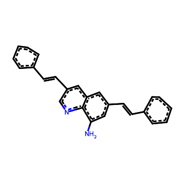 Nc1cc(/C=C/c2ccccc2)cc2cc(/C=C/c3ccccc3)cnc12